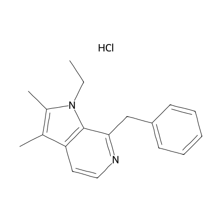 CCn1c(C)c(C)c2ccnc(Cc3ccccc3)c21.Cl